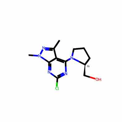 Cc1nn(C)c2nc(Cl)nc(N3CCC[C@H]3CO)c12